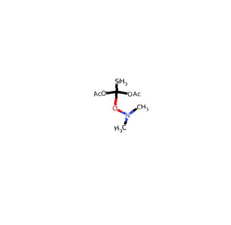 CC(=O)OC([SiH3])(OC(C)=O)ON(C)C